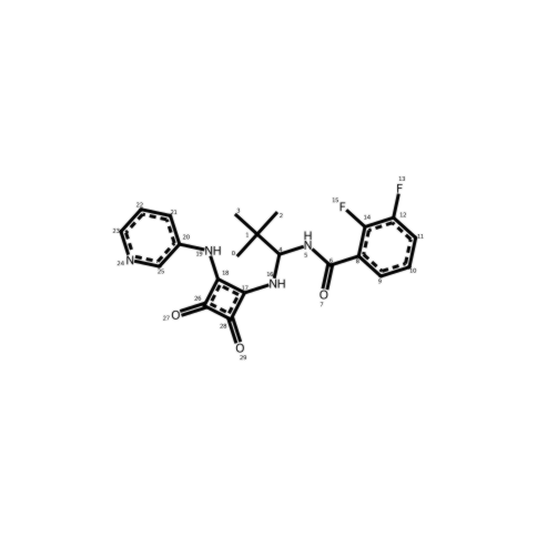 CC(C)(C)C(NC(=O)c1cccc(F)c1F)Nc1c(Nc2cccnc2)c(=O)c1=O